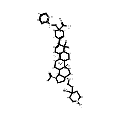 C=C(C)[C@@H]1CC[C@]2(NCCC3(O)CC[S+]([O-])CC3)CC[C@]3(C)C(CCC4[C@@]5(C)CC=C(C6=CCC(COc7ccccn7)(C(=O)O)CC6)C(C)(C)C5CC[C@]43C)C12